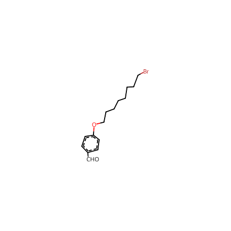 O=Cc1ccc(OCCCCCCCCBr)cc1